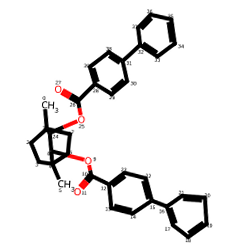 CC12CCC(C)(CC1)C(OC(=O)c1ccc(-c3ccccc3)cc1)C2OC(=O)c1ccc(-c2ccccc2)cc1